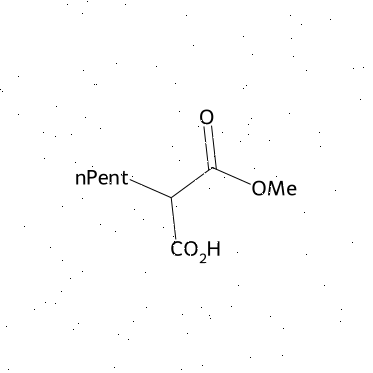 CCCCCC(C(=O)O)C(=O)OC